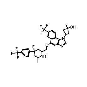 CC1CC(F)(c2ccc(C(F)(F)F)cc2)CC(COc2cc3ncn(C4CC(C)(O)C4)c3c3ccc(C(F)(F)F)cc23)N1